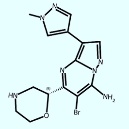 Cn1cc(-c2cnn3c(N)c(Br)c([C@H]4CNCCO4)nc23)cn1